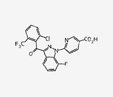 O=C(O)c1ccc(-n2nc(C(=O)c3c(Cl)cccc3C(F)(F)F)c3cccc(F)c32)nc1